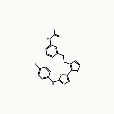 CC(=O)Nc1cc(CSc2ccsc2-c2nnc(Nc3ccc(Cl)cc3)o2)ccn1